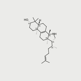 CC(C)=CCC[C@@H](C)[C@H]1CN[C@@]2(C)C3=C(CC[C@]12C)[C@@]1(C)CC[C@H](O)C(C)(C)[C@@H]1CC3